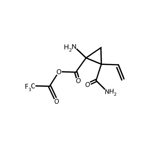 C=CC1(C(N)=O)CC1(N)C(=O)OC(=O)C(F)(F)F